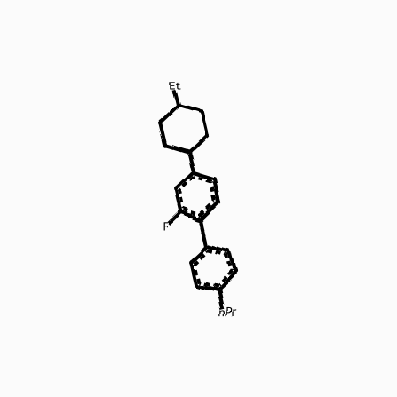 CCCc1ccc(-c2ccc(C3CCC(CC)CC3)cc2F)cc1